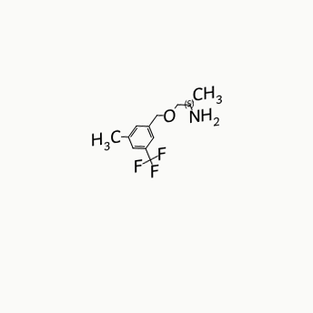 Cc1cc(COC[C@H](C)N)cc(C(F)(F)F)c1